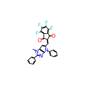 Cn1c(-c2ccccc2)nc2c1cc(C=C1C(=O)c3c(F)c(F)c(F)c(F)c3C1=O)n2-c1ccccc1